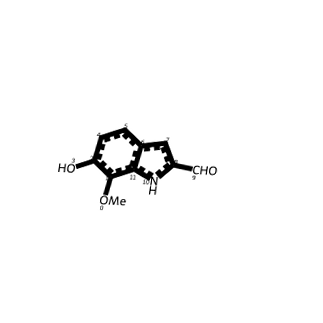 COc1c(O)[c]cc2cc(C=O)[nH]c12